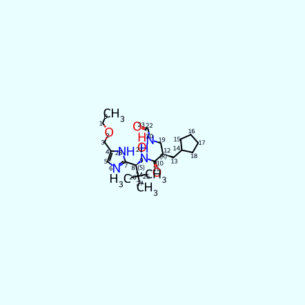 CCOCc1cnc([C@@H](NC(=O)[C@H](CC2CCCC2)CN(O)C=O)C(C)(C)C)[nH]1